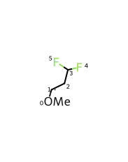 CO[CH]CC(F)F